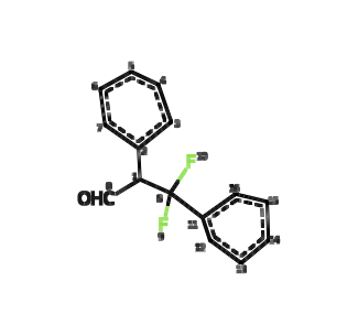 O=CC(c1ccccc1)C(F)(F)c1ccccc1